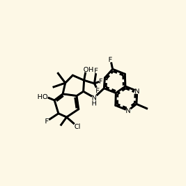 Cc1ncc2c(NC3C4=CC(C)(Cl)C(F)C(O)=C4C(C)(C)CC3(O)C(F)(F)F)cc(F)cc2n1